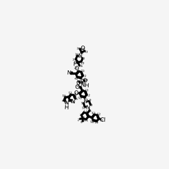 CC1(C)CCC(CN2CCN(c3ccc(C(=O)NS(=O)(=O)c4ccc(OCC5(F)CCN(C6COC6)CC5)c(C#N)c4)c(Oc4cnc5[nH]ccc5c4)c3)CC2)=C(c2ccc(Cl)cc2)C1